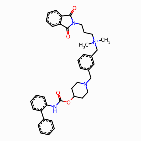 C[N+](C)(CCCN1C(=O)c2ccccc2C1=O)Cc1cccc(CN2CCC(OC(=O)Nc3ccccc3-c3ccccc3)CC2)c1